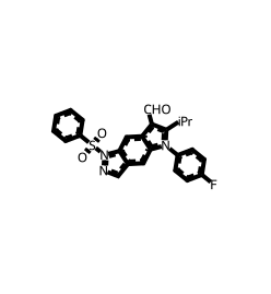 CC(C)c1c(C=O)c2cc3c(cnn3S(=O)(=O)c3ccccc3)cc2n1-c1ccc(F)cc1